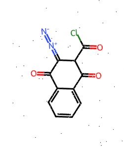 [N-]=[N+]=C1C(=O)c2ccccc2C(=O)C1C(=O)Cl